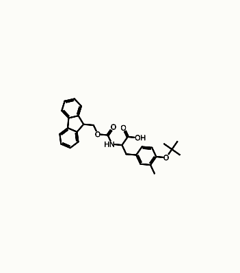 Cc1cc(CC(NC(=O)OCC2c3ccccc3-c3ccccc32)C(=O)O)ccc1OC(C)(C)C